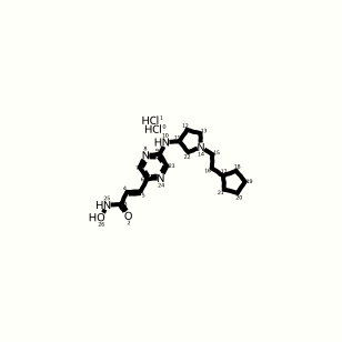 Cl.Cl.O=C(/C=C/c1cnc(NC2CCN(CCC3CCCC3)C2)cn1)NO